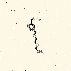 CCOCCOCn1cc(CC)nn1